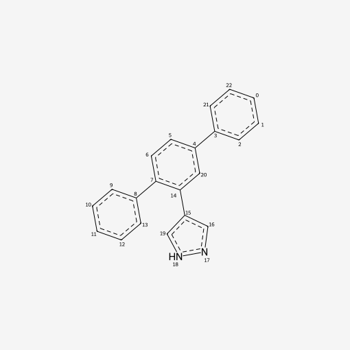 c1ccc(-c2ccc(-c3ccccc3)c(-c3cn[nH]c3)c2)cc1